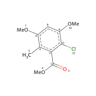 COC(=O)c1c(C)c(OC)cc(OC)c1Cl